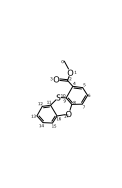 COC(=O)c1cccc2c1Sc1ccccc1O2